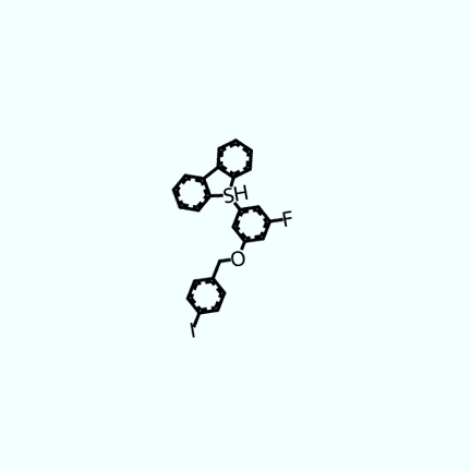 Fc1cc(OCc2ccc(I)cc2)cc([SH]2c3ccccc3-c3ccccc32)c1